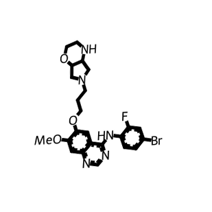 COc1cc2ncnc(Nc3ccc(Br)cc3F)c2cc1OCCCN1CC2NCCOC2C1